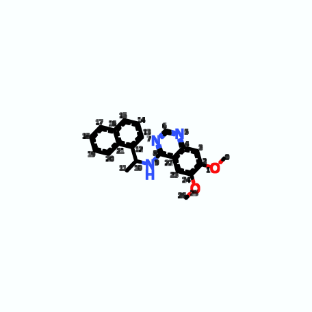 COc1cc2ncnc(NC(C)c3cccc4ccccc34)c2cc1OC